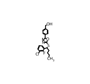 CCCCC(Sc1nnc(-c2ccc(CO)cc2)o1)c1cccc(Cl)c1F